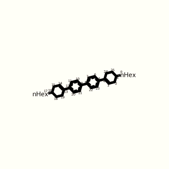 CCCCCCC1CC=C(c2ccc(-c3ccc(C4=CCC(CCCCCC)CC4)cc3)cc2)CC1